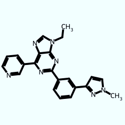 CCn1cnc2c(-c3cccnc3)nc(-c3cccc(-c4ccn(C)n4)c3)nc21